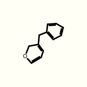 C1=COCC(Cc2ccccc2)=C1